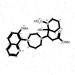 CCCCC1(C(CC(=O)OC)N2CCCN(c3c(OC)ccc4cccnc34)CC2)CCCCN1C(=O)O